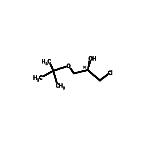 CC(C)(C)OC[C@@H](O)CCl